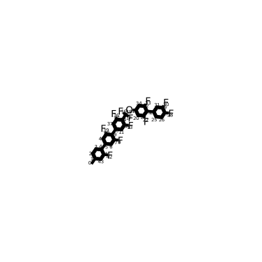 Cc1ccc(-c2cc(F)c(-c3cc(F)c(C(F)(F)Oc4cc(F)c(-c5ccc(F)c(F)c5)c(F)c4)c(F)c3)c(F)c2)c(F)c1